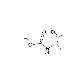 CCOC(=O)N[C@@H](C)C(C)=O